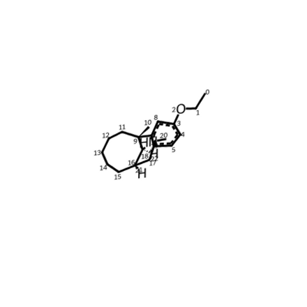 CCOc1ccc2c(c1)[C@@]1(C)CCCCC[C@@H](C2)[C@@H]1NC